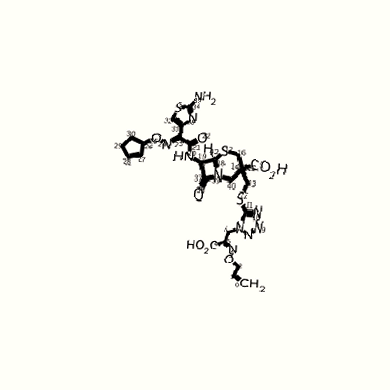 C=CCON=C(Cn1nnnc1SCC1(C(=O)O)CS[C@@H]2C(NC(=O)C(=NOC3C=CCC3)c3csc(N)n3)C(=O)N2C1)C(=O)O